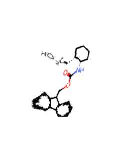 O=C(O)C[C@@H]1CCCC[C@@H]1NC(=O)OCC1c2ccccc2-c2ccccc21